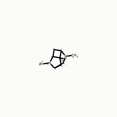 CC(C)N1C2CN(C)C3CC1C3(I)C2